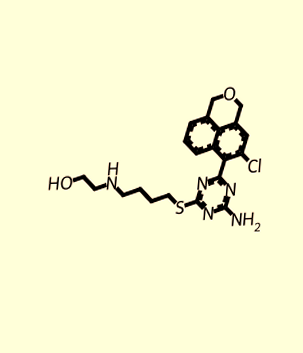 Nc1nc(SCCCCNCCO)nc(-c2c(Cl)cc3c4c(cccc24)COC3)n1